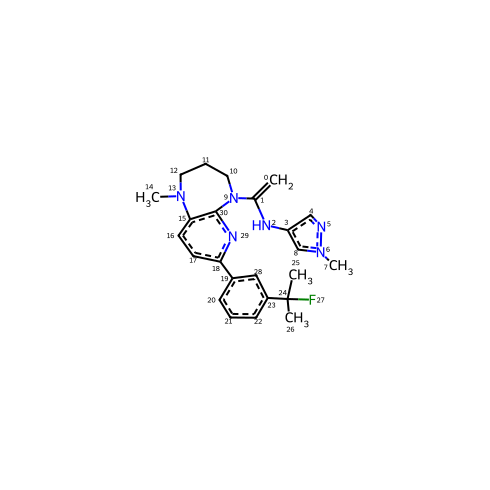 C=C(Nc1cnn(C)c1)N1CCCN(C)c2ccc(-c3cccc(C(C)(C)F)c3)nc21